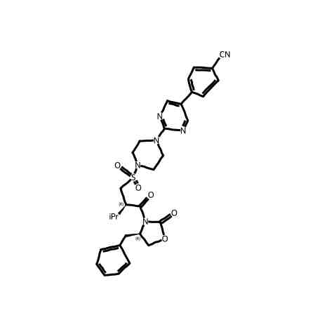 CC(C)[C@@H](CS(=O)(=O)N1CCN(c2ncc(-c3ccc(C#N)cc3)cn2)CC1)C(=O)N1C(=O)OC[C@H]1Cc1ccccc1